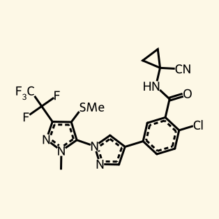 CSc1c(C(F)(F)C(F)(F)F)nn(C)c1-n1cc(-c2ccc(Cl)c(C(=O)NC3(C#N)CC3)c2)cn1